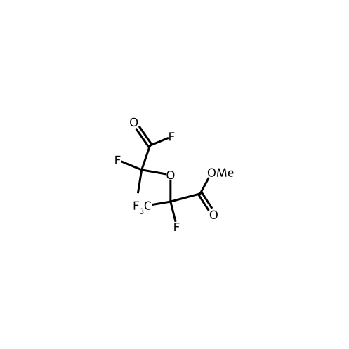 COC(=O)C(F)(OC(C)(F)C(=O)F)C(F)(F)F